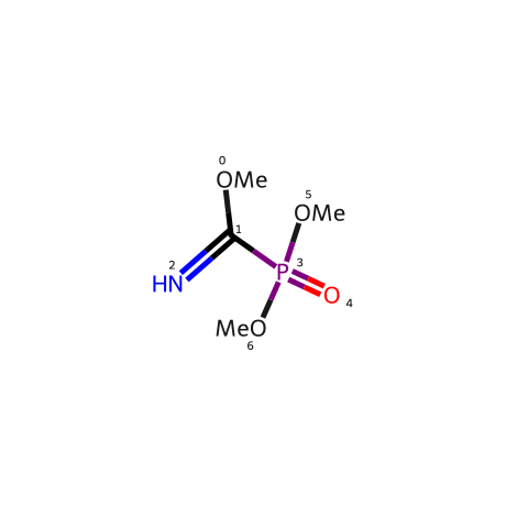 COC(=N)P(=O)(OC)OC